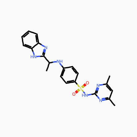 Cc1cc(C)nc(NS(=O)(=O)c2ccc(NC(C)c3nc4ccccc4[nH]3)cc2)n1